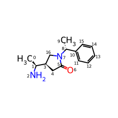 C[C@H](N)[C@@H]1CC(=O)N([C@H](C)c2ccccc2)C1